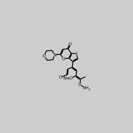 COC(/C=C(\C=C\Cl)c1csc2c(=O)cc(N3CCOCC3)oc12)=C(/C)ON